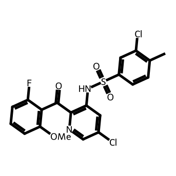 COc1cccc(F)c1C(=O)c1ncc(Cl)cc1NS(=O)(=O)c1ccc(C)c(Cl)c1